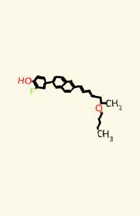 CCCCCOC(C)CCCC=Cc1ccc2cc(-c3ccc(O)c(F)c3)ccc2c1